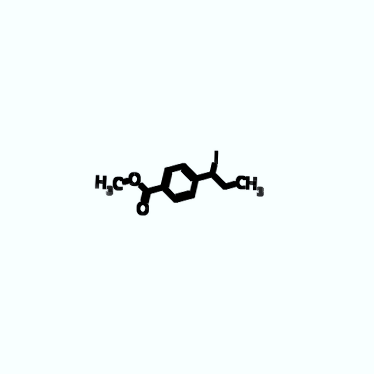 CCC(I)c1ccc(C(=O)OC)cc1